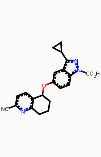 N#Cc1ccc2c(n1)CCCC2Oc1ccc2c(c1)c(C1CC1)nn2C(=O)O